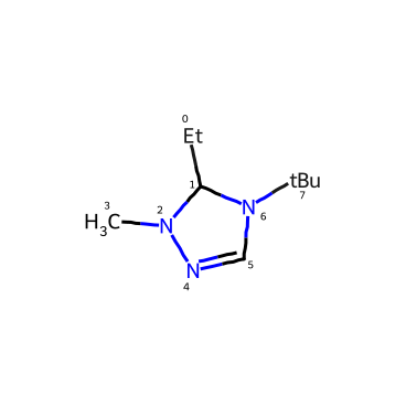 CCC1N(C)N=CN1C(C)(C)C